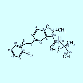 Cc1oc2ccc(COc3ccccc3F)cc2c1C(=O)NC(C)(C)CO